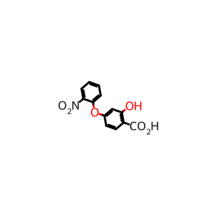 O=C(O)c1ccc(Oc2ccccc2[N+](=O)[O-])cc1O